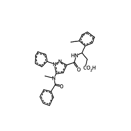 Cc1ccccc1C(CC(=O)O)NC(=O)c1cc(N(C)C(=O)c2ccccc2)n(-c2ccccc2)n1